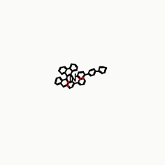 c1ccc(-c2ccc(-c3ccc(N(c4ccccc4-c4ccccc4)c4c(-c5cccc6ccccc56)c5ccccc5c5ccccc45)cc3)cc2)cc1